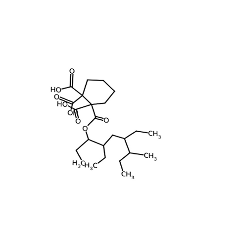 CCC(C)C(CC)CC(CC)C(CC)OC(=O)C1(C(=O)O)CCCCC1(C(=O)O)C(=O)O